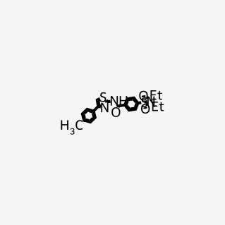 CCN(CC)S(=O)(=O)c1ccc(C(=O)Nc2nc(-c3ccc(C)cc3)cs2)cc1